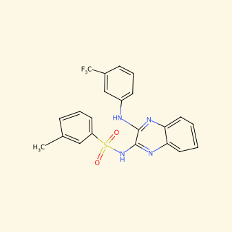 Cc1cccc(S(=O)(=O)Nc2nc3ccccc3nc2Nc2cccc(C(F)(F)F)c2)c1